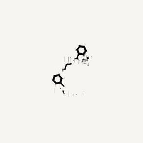 CCCCCNCc1cccc(OCCCNC2=NS(=O)(=O)c3ccccc32)c1